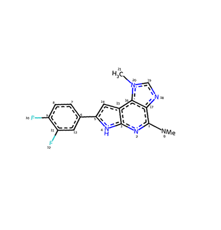 CNc1nc2[nH]c(-c3ccc(F)c(F)c3)cc2c2c1ncn2C